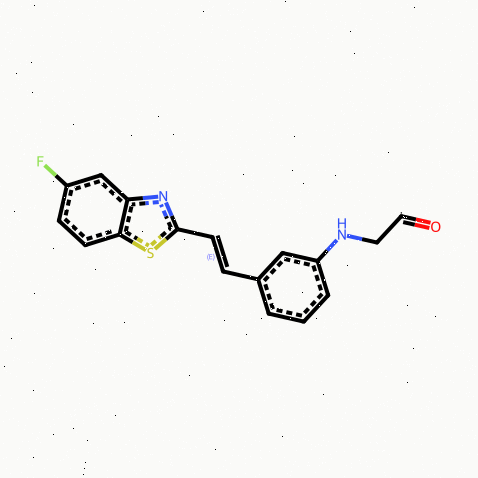 O=[C]CNc1cccc(/C=C/c2nc3cc(F)ccc3s2)c1